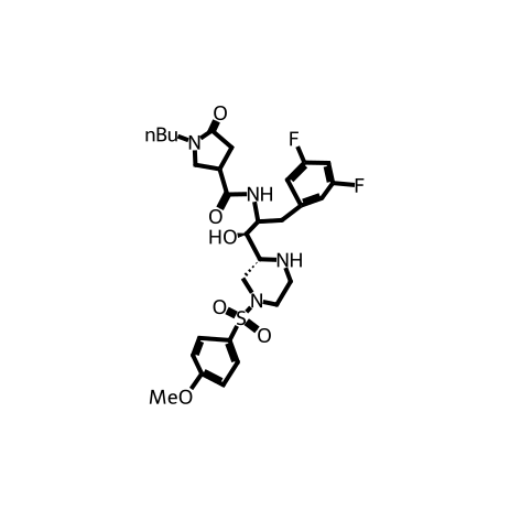 CCCCN1CC(C(=O)NC(Cc2cc(F)cc(F)c2)[C@H](O)[C@H]2CN(S(=O)(=O)c3ccc(OC)cc3)CCN2)CC1=O